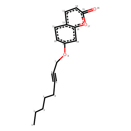 CCCCCC#CCOc1ccc2ccc(=O)oc2c1